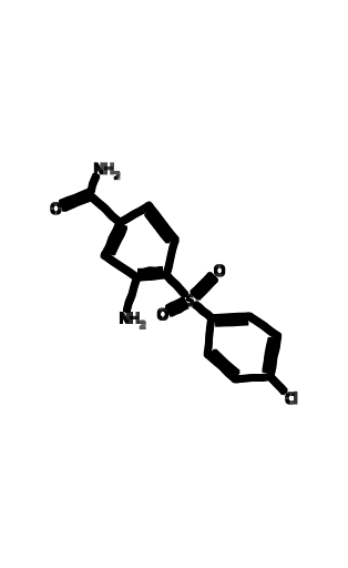 NC(=O)c1ccc(S(=O)(=O)c2ccc(Cl)cc2)c(N)c1